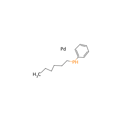 CCCCCCPc1ccccc1.[Pd]